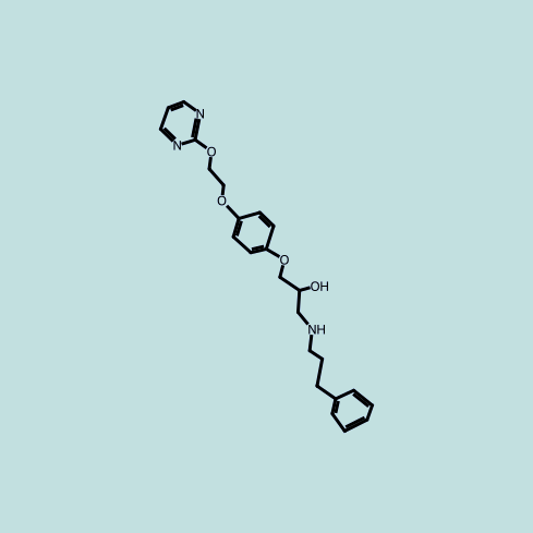 OC(CNCCCc1ccccc1)COc1ccc(OCCOc2ncccn2)cc1